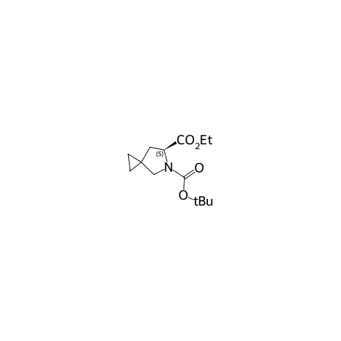 CCOC(=O)[C@@H]1CC2(CC2)CN1C(=O)OC(C)(C)C